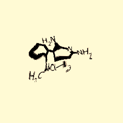 CN(C)c1ccccc1-c1ccc(N)nc1N